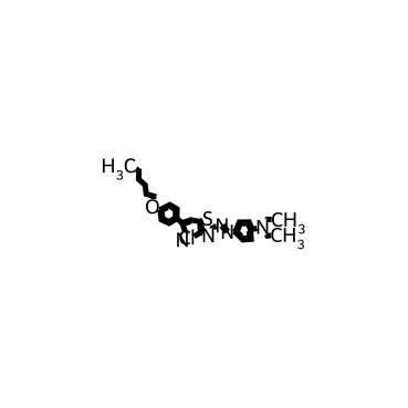 CCCCCCOc1ccc(/C(C#N)=C/c2sc(/N=N/c3ccc(N(CC)CC)cc3)nc2Cl)cc1